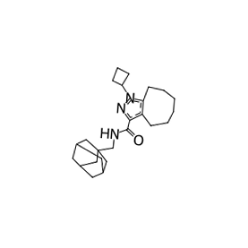 O=C(NCC12CC3CC(CC(C3)C1)C2)c1nn(C2CCC2)c2c1CCCCCC2